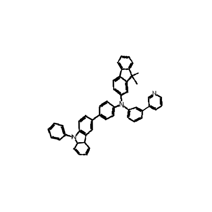 CC1(C)c2ccccc2-c2ccc(N(c3ccc(-c4ccc5c(c4)C4C=CC=CC4N5c4ccccc4)cc3)c3cccc(-c4cccnc4)c3)cc21